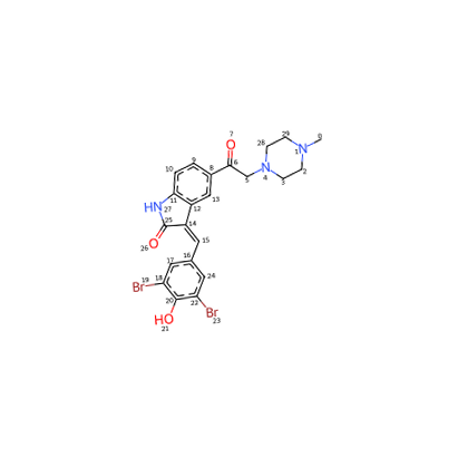 CN1CCN(CC(=O)c2ccc3c(c2)/C(=C/c2cc(Br)c(O)c(Br)c2)C(=O)N3)CC1